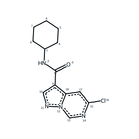 O=C(NC1CCCCC1)c1cnn2cnc(Cl)cc12